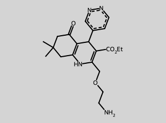 CCOC(=O)C1=C(COCCN)NC2=C(C(=O)CC(C)(C)C2)C1c1ccnnc1